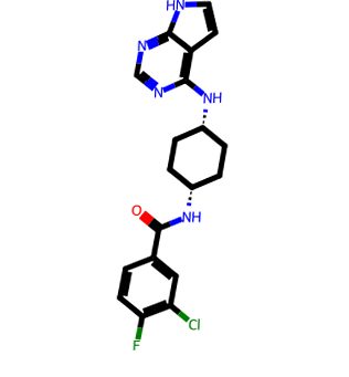 O=C(N[C@H]1CC[C@@H](Nc2ncnc3[nH]ccc23)CC1)c1ccc(F)c(Cl)c1